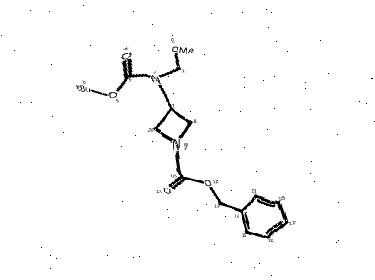 COCN(C(=O)OC(C)(C)C)C1CN(C(=O)OCc2ccccc2)C1